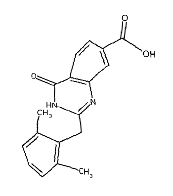 Cc1cccc(C)c1Cc1nc2cc(C(=O)O)ccc2c(=O)[nH]1